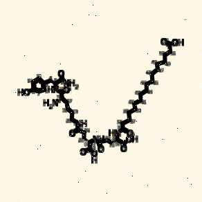 NC(=O)[C@H](Cc1ccc(O)cc1)NC(=O)[C@@H](N)CCCCNC(=O)CC[C@H](NC(=O)CC[C@H](NC(=O)CCCCCCCCCCCCCCCCC(=O)O)C(=O)O)C(=O)O